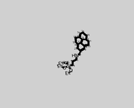 CCO[Si](CCCNCc1cc2ccc3cccc4ccc(c1)c2c34)(OCC)OCC